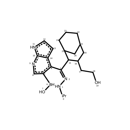 CC(C)N/N=C(\c1c(BO)cnc2[nH]ccc12)C1C(CCO)CC2CCCC1C2